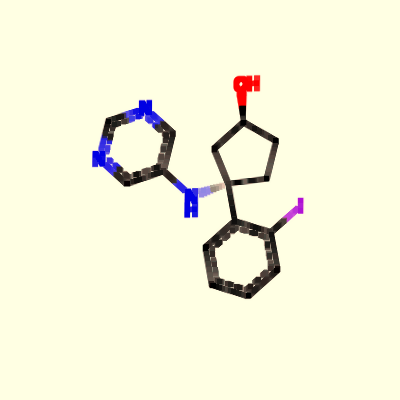 O[C@H]1CC[C@@](Nc2cncnc2)(c2ccccc2I)C1